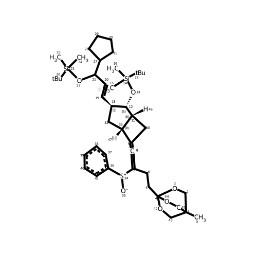 CC12COC(CCC(=C=C3C[C@H]4[C@@H](O[Si](C)(C)C(C)(C)C)[C@H](/C=C/C(O[Si](C)(C)C(C)(C)C)C5CCCC5)C[C@@H]34)[S+]([O-])c3ccccc3)(OC1)OC2